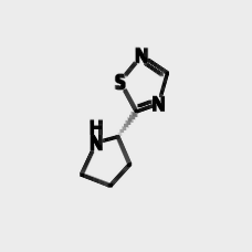 c1nsc([C@@H]2CCCN2)n1